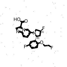 O=C(O)c1cnc2ccc(N3C[C@@H](F)C[C@@H]3c3cc(F)ccc3OCCF)cn12